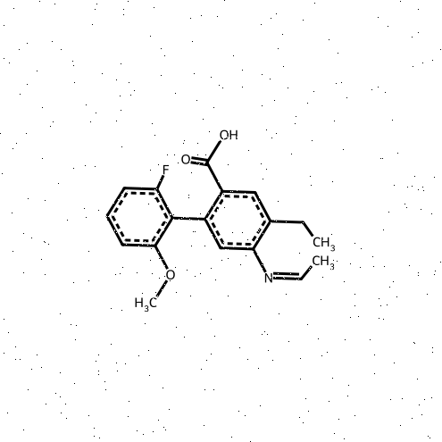 C/C=N\c1cc(-c2c(F)cccc2OC)c(C(=O)O)cc1CC